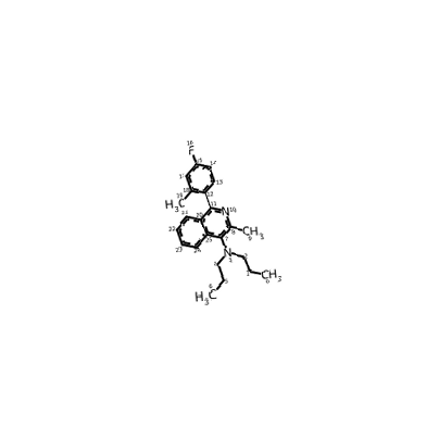 CCCN(CCC)c1c(C)nc(-c2ccc(F)cc2C)c2ccccc12